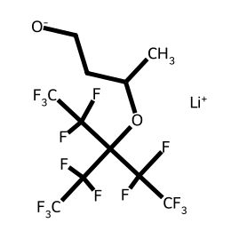 CC(CC[O-])OC(C(F)(F)C(F)(F)F)(C(F)(F)C(F)(F)F)C(F)(F)C(F)(F)F.[Li+]